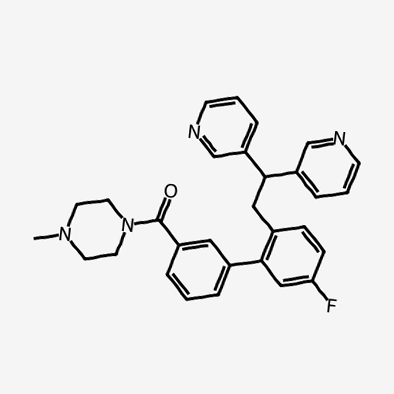 CN1CCN(C(=O)c2cccc(-c3cc(F)ccc3CC(c3cccnc3)c3cccnc3)c2)CC1